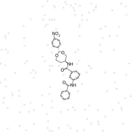 O=C(Nc1cccc(C(=O)N[C@H]2CCO[C@H](c3ccc([N+](=O)[O-])cc3)OC2)c1)c1ccccc1